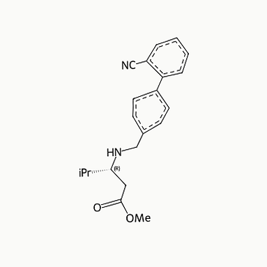 COC(=O)C[C@@H](NCc1ccc(-c2ccccc2C#N)cc1)C(C)C